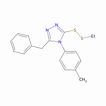 CCSSc1nnc(Cc2ccccc2)n1-c1ccc(C)cc1